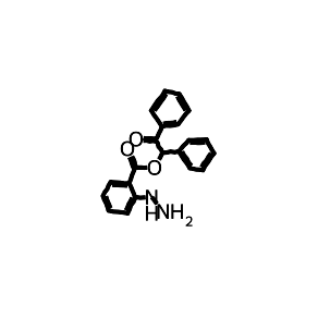 NNc1ccccc1C(=O)OC(C(=O)c1ccccc1)c1ccccc1